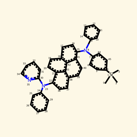 C[Si](C)(C)c1ccc(N(c2ccccc2)c2ccc3ccc4c(N(c5ccccc5)c5ccccn5)ccc5ccc2c3c54)cc1